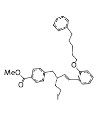 COC(=O)c1ccc(CC(C=Cc2ccccc2OCCCCCc2ccccc2)CCI)cc1